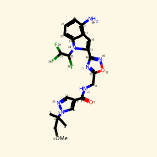 COCC(C)(C)n1cc(C(=O)NCc2nc(-c3cc4c(N)cccc4n3C(F)C(F)F)no2)cn1